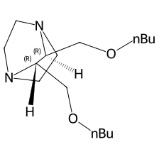 CCCCOC[C@H]1[C@H](COCCCC)N2CCN1CC2